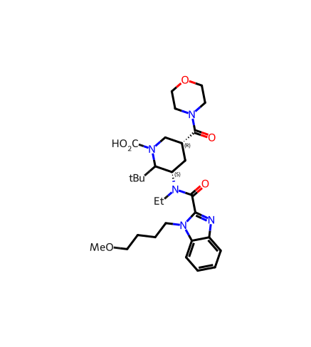 CCN(C(=O)c1nc2ccccc2n1CCCCOC)[C@H]1C[C@@H](C(=O)N2CCOCC2)CN(C(=O)O)C1C(C)(C)C